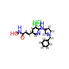 Cl.Cl.O=C(C=Cc1ccc(N[C@@H]2CCN(Cc3ccccc3)C2)nc1)NO